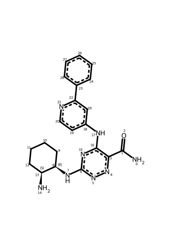 NC(=O)c1nnc(N[C@@H]2CCCC[C@@H]2N)nc1Nc1ccnc(-c2ccccc2)c1